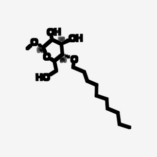 CCCCCCCCCCO[C@@H]1C(CO)O[C@H](OC)C(O)[C@H]1O